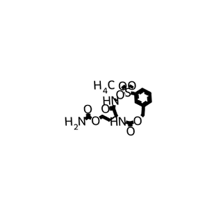 C.NC(=O)OCC[C@@H]1NC(=O)OCc2cccc(c2)S(=O)(=O)ONC1=O